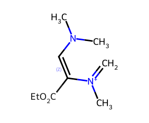 C=[N+](C)/C(=C\N(C)C)C(=O)OCC